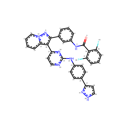 O=C(Nc1cccc(-c2nn3ccccc3c2-c2ccnc(Nc3ccc(-c4cc[nH]n4)cc3)n2)c1)c1c(F)cccc1F